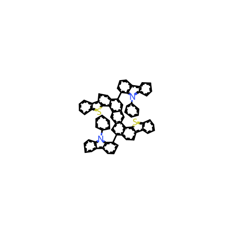 c1ccc(-n2c3ccccc3c3cccc(-c4cc5cc6c(cc(-c7cccc8c9ccccc9n(-c9ccccc9)c78)c7ccc8c9ccccc9sc8c76)cc5c5c4ccc4c6ccccc6sc45)c32)cc1